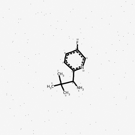 CC(C)(C)C(N)c1ccc(F)cn1